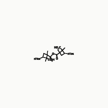 CCCCCCC1CC(C)(C(=O)OC(=O)C2(C)CC(CCCCCC)C2(C)C(=O)O)C1(C)C(=O)O